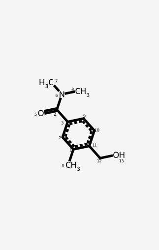 Cc1cc(C(=O)N(C)C)ccc1CO